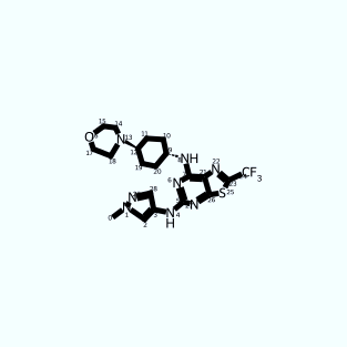 Cn1cc(Nc2nc(N[C@H]3CC[C@H](N4CCOCC4)CC3)c3nc(C(F)(F)F)sc3n2)cn1